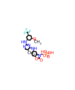 COc1cc(Nc2ncc(C)c(Nc3ccc4oc(=O)n(COP(=O)(O)O)c4c3)n2)cc(C(F)(F)F)c1